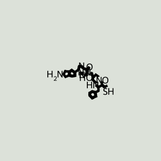 C/C(S)=C(/C(=N)Cc1ccccc1)C(=O)N1CCC(O)(Cn2cnn3c(-c4ccc5c(c4)CC(N)C5)cnc3c2=O)CC1